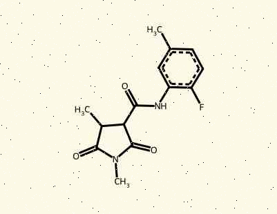 Cc1ccc(F)c(NC(=O)C2C(=O)N(C)C(=O)C2C)c1